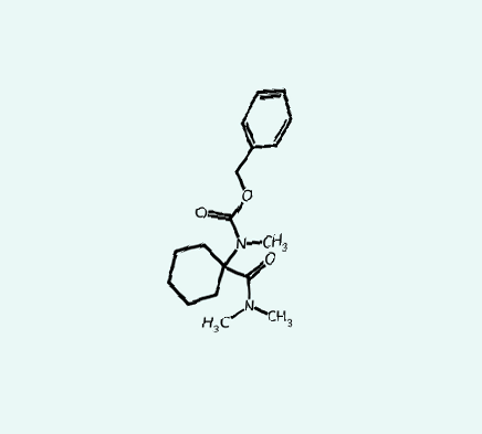 CN(C)C(=O)C1(N(C)C(=O)OCc2ccccc2)CCCCC1